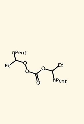 CCCCCC(CC)OOC(=O)OC(CC)CCCCC